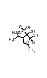 CCCC(C(C)C)C(O)(P(=O)(O)O)P(=O)(O)O